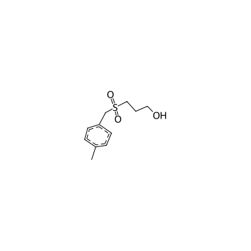 Cc1ccc(CS(=O)(=O)CCCO)cc1